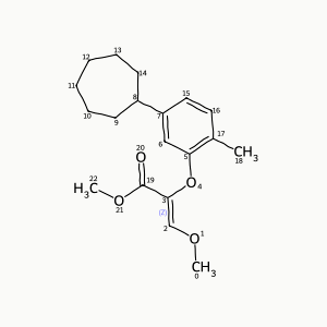 CO/C=C(\Oc1cc(C2CCCCCC2)ccc1C)C(=O)OC